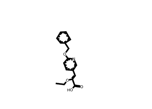 CCOC(=Cc1ccc(OCc2ccccc2)nc1)C(=O)O